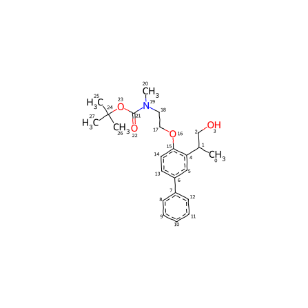 CC(CO)c1cc(-c2ccccc2)ccc1OCCN(C)C(=O)OC(C)(C)C